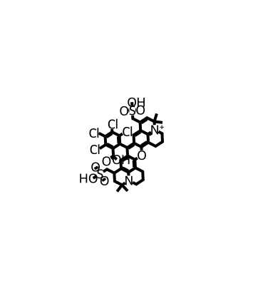 CC1(C)CC(CS(=O)(=O)O)c2cc3c(c4c2N1CCC4)Oc1c2c4c(cc1=C3c1c(Cl)c(Cl)c(Cl)c(Cl)c1C(=O)O)C(CS(=O)(=O)O)=CC(C)(C)[N+]=4CCC2